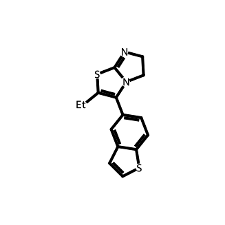 CCC1=C(c2ccc3sccc3c2)N2CCN=C2S1